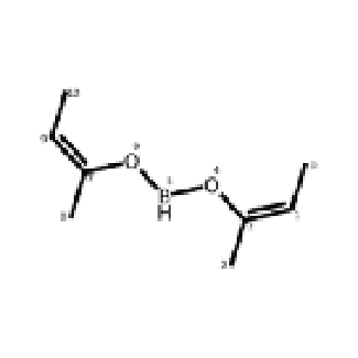 C/C=C(/C)OBO/C(C)=C\C